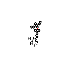 C\C=C/C=C\C=C(/C)c1ccc(-c2ccc(-c3c4ccccc4c(-c4ccc5c(-c6ccc7ccccc7c6)c6ccccc6c(-c6ccc7ccccc7c6)c5c4)c4ccccc34)cc2)s1